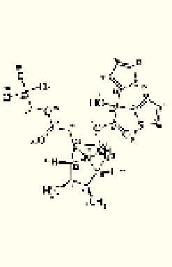 C[C@@H]1[C@H](C)[C@H]2C[C@@H](OC(=O)C(O)(c3cccs3)c3cccs3)C3(CC(=O)OCC(Cl)(Cl)Cl)[C@@H]1[N+]23C